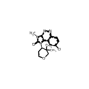 Cn1c(=O)n([C@@H]2CCOCC2(C)C)c2c3cc(Cl)ccc3nnc21